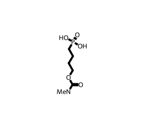 CNC(=O)OCCCCP(=O)(O)O